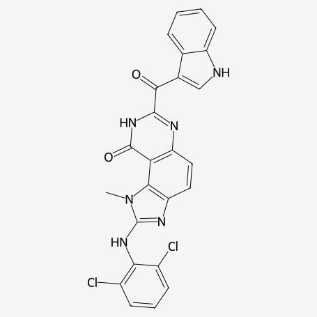 Cn1c(Nc2c(Cl)cccc2Cl)nc2ccc3nc(C(=O)c4c[nH]c5ccccc45)[nH]c(=O)c3c21